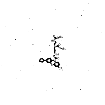 CC(C)(C)OC(=O)NCCN(CCCNOC(=O)N1c2ccc(C3CCCC3)cc2Sc2cc(C(F)(F)F)ccc21)C(=O)OC(C)(C)C